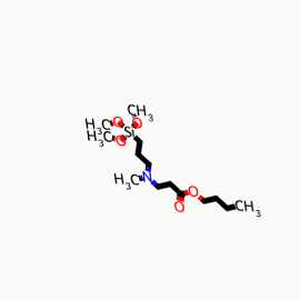 CCCCOC(=O)CCN(C)CCC[Si](OC)(OC)OC